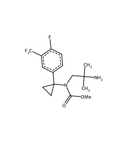 COC(=O)N(CC(C)(C)N)C1(c2ccc(F)c(C(F)(F)F)c2)CC1